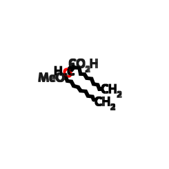 C=CCCCCCCCC(C)C(=O)O.C=CCCCCCCCCC(=O)OC